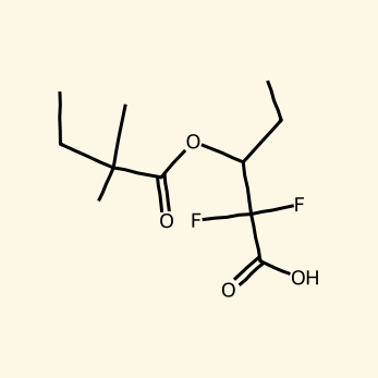 CCC(OC(=O)C(C)(C)CC)C(F)(F)C(=O)O